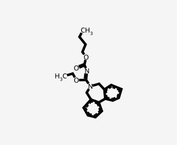 CCCCOC(=O)/N=C(\OCC)N1Cc2ccccc2-c2ccccc2C1